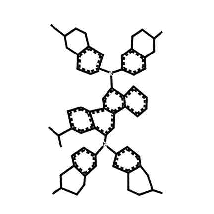 CC1CCc2cc(N(c3ccc4c(c3)CCC(C)C4)c3cc4c5ccc(C(C)C)cc5c(N(c5ccc6c(c5)CCC(C)C6)c5ccc6c(c5)CCC(C)C6)cc4c4ccccc34)ccc2C1